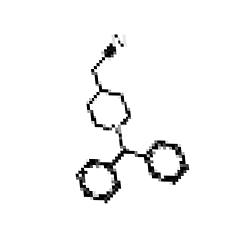 N#CCC1CCN(C(c2ccccc2)c2ccccc2)CC1